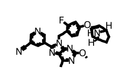 COc1nc(C)c2nc(-c3cncc(C#N)c3)n(Cc3ccc(OC4=C[C@@H]5CC[C@H](C4)N5)cc3F)c2n1